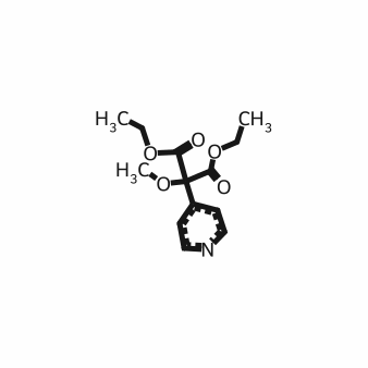 CCOC(=O)C(OC)(C(=O)OCC)c1ccncc1